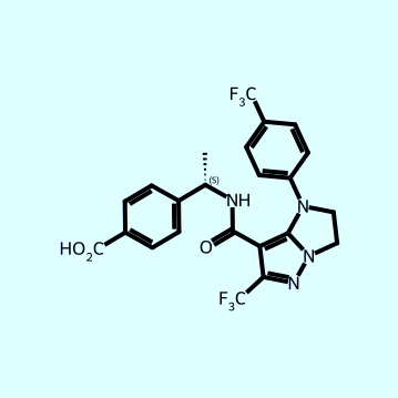 C[C@H](NC(=O)c1c(C(F)(F)F)nn2c1N(c1ccc(C(F)(F)F)cc1)CC2)c1ccc(C(=O)O)cc1